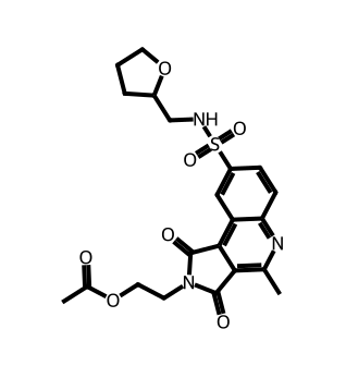 CC(=O)OCCN1C(=O)c2c(C)nc3ccc(S(=O)(=O)NCC4CCCO4)cc3c2C1=O